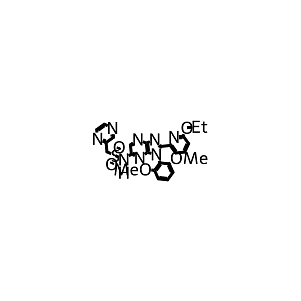 CCOc1cccc(-c2nc3ncc(NS(=O)(=O)Cc4cnccn4)nc3n2-c2c(OC)cccc2OC)n1